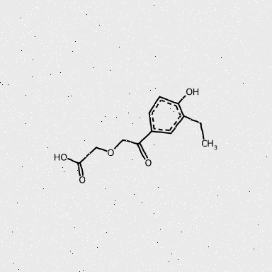 CCc1cc(C(=O)COCC(=O)O)ccc1O